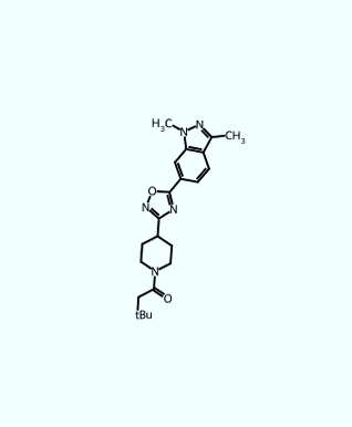 Cc1nn(C)c2cc(-c3nc(C4CCN(C(=O)CC(C)(C)C)CC4)no3)ccc12